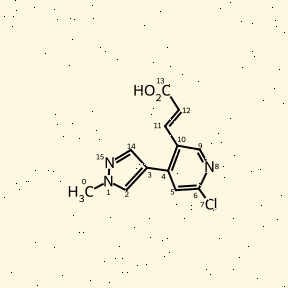 Cn1cc(-c2cc(Cl)ncc2/C=C/C(=O)O)cn1